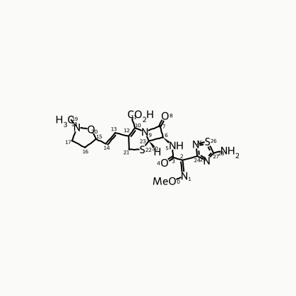 CO/N=C(\C(=O)N[C@@H]1C(=O)N2C(C(=O)O)=C(/C=C/C3CCN(C)O3)CS[C@@H]12)c1nsc(N)n1